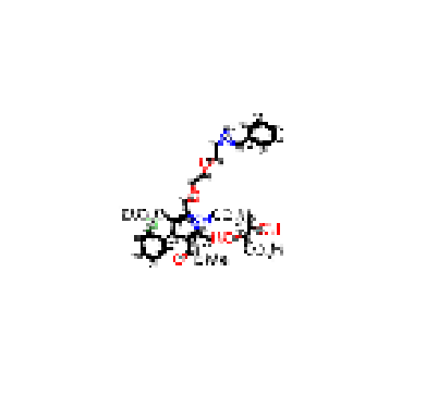 CCOC(=O)C1=C(COCCOCCN(C)Cc2ccccc2)NC(C)=C(C(=O)OC)[C@H]1c1ccccc1Cl.O=C(O)C(O)C(O)C(=O)O